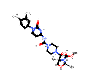 Cc1cc(-n2ccc(NC(=O)N3CCN(C(=O)[C@]4(C)CO[C@H](C(C)(C)C)N4C(=O)OC(C)(C)C)CC3)nc2=O)ccc1C=O